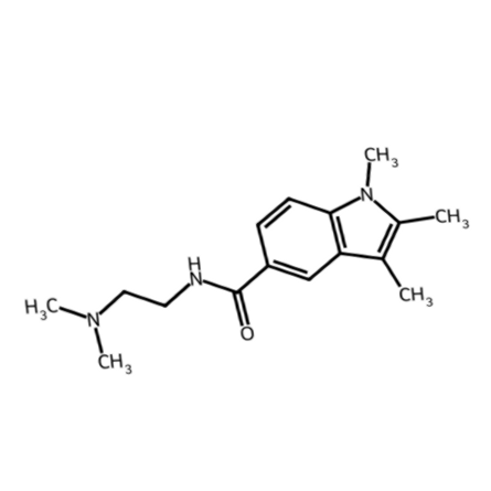 Cc1c(C)n(C)c2ccc(C(=O)NCCN(C)C)cc12